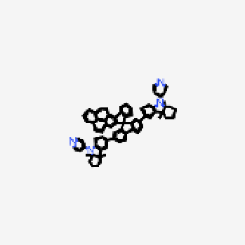 CC12CCCCC1(C)N(c1ccncc1)c1ccc(-c3ccc4c(c3)C3(c5cc(-c6ccc7c(c6)C6(C)CCCCC6(C)N7c6ccncc6)ccc5-4)c4ccccc4-c4c3cc3ccc5cccc6ccc4c3c56)cc12